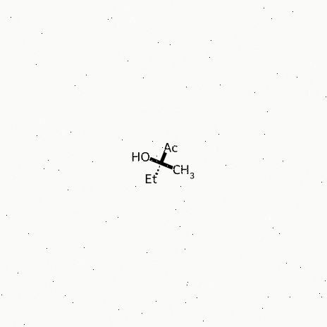 CC[C@](C)(O)C(C)=O